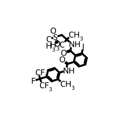 Cc1cc(C(F)(C(F)(F)F)C(F)(F)F)ccc1NC(=O)c1cccc(I)c1C(=O)NC(C)(C)CS(C)(=O)=O